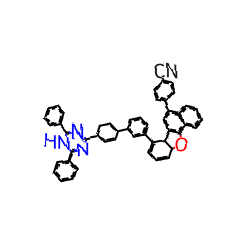 N#Cc1ccc(-c2cc3c(c4ccccc24)OC2C=CC=C(c4cccc(C5=CCC(C6=NC(c7ccccc7)NC(c7ccccc7)=N6)C=C5)c4)C32)cc1